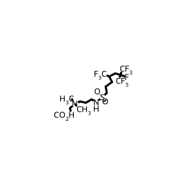 C[N+](C)(CCCNS(=O)(=O)CCCC(CC(F)(C(F)(F)F)C(F)(F)F)C(F)(F)F)CC(=O)O